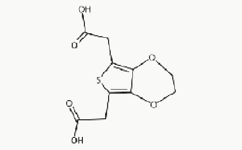 O=C(O)Cc1sc(CC(=O)O)c2c1OCCO2